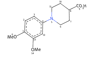 COc1ccc(N2CCC(C(=O)O)CC2)cc1OC